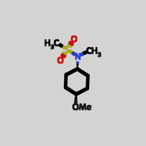 CO[C@H]1CC[C@H](N(C)S(C)(=O)=O)CC1